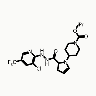 CC(C)OC(=O)N1CCC(N2C=CCC2C(=O)NNc2ncc(C(F)(F)F)cc2Cl)CC1